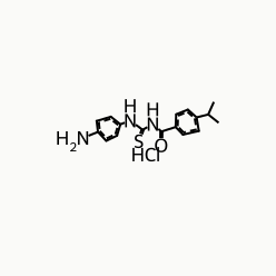 CC(C)c1ccc(C(=O)NC(=S)Nc2ccc(N)cc2)cc1.Cl